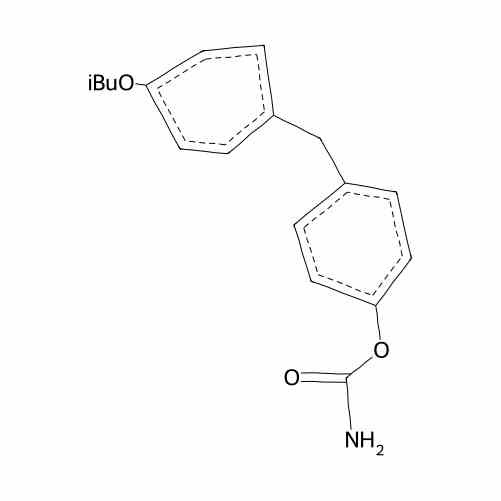 CC(C)COc1ccc(Cc2ccc(OC(N)=O)cc2)cc1